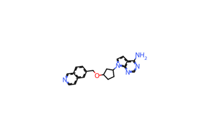 Nc1ncnc2c1ccn2C1CCC(OCc2ccc3cnccc3c2)C1